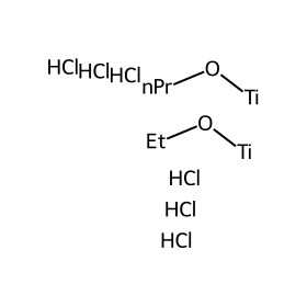 CCC[O][Ti].CC[O][Ti].Cl.Cl.Cl.Cl.Cl.Cl